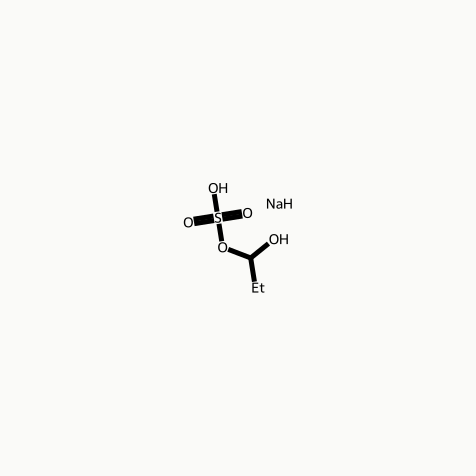 CCC(O)OS(=O)(=O)O.[NaH]